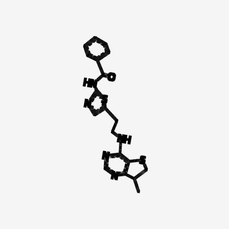 CC1CSc2c(NCCc3cnc(NC(=O)c4ccccc4)s3)ncnc21